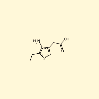 CCc1scc(CC(=O)O)c1N